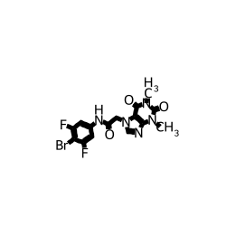 Cn1c(=O)c2c(ncn2CC(=O)Nc2cc(F)c(Br)c(F)c2)n(C)c1=O